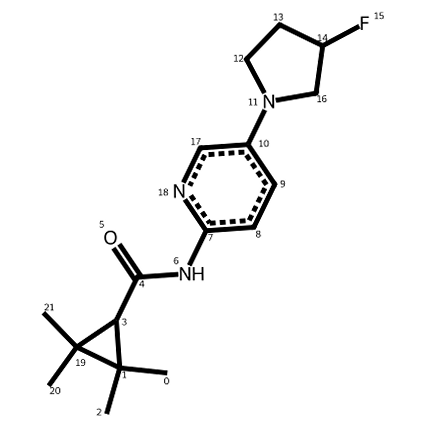 CC1(C)C(C(=O)Nc2ccc(N3CCC(F)C3)cn2)C1(C)C